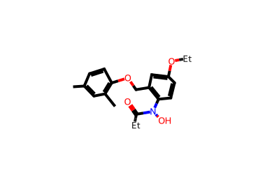 CCOc1ccc(N(O)C(=O)CC)c(COc2ccc(C)cc2C)c1